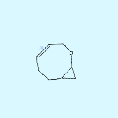 C1=C\COC2CC2CC/1